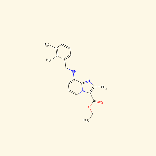 CCOC(=O)c1c(C)nc2c(NCc3cccc(C)c3C)cccn12